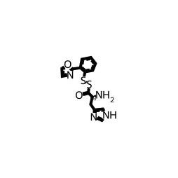 N[C@@H](Cc1c[nH]cn1)C(=O)SSc1ccccc1-c1ncco1